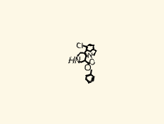 O=C(OCc1ccccc1)C1CNCCc2c1n1c3c(ccc(Cl)c23)CC1